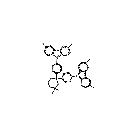 Cc1ccc2c(c1)c1cc(C)ccc1n2-c1ccc(C2(c3ccc(-n4c5ccc(C)cc5c5cc(C)ccc54)cc3)CCCC(F)(F)C2)cc1